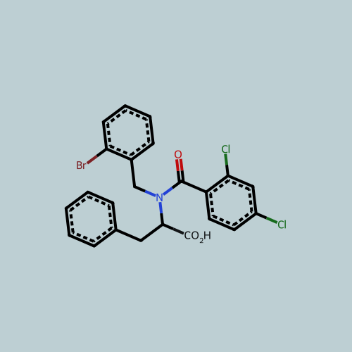 O=C(O)C(Cc1ccccc1)N(Cc1ccccc1Br)C(=O)c1ccc(Cl)cc1Cl